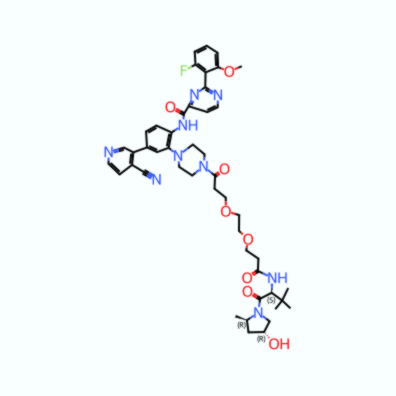 COc1cccc(F)c1-c1nccc(C(=O)Nc2ccc(-c3cnccc3C#N)cc2N2CCN(C(=O)CCOCCOCCC(=O)N[C@H](C(=O)N3C[C@H](O)C[C@H]3C)C(C)(C)C)CC2)n1